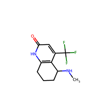 CNC1CCCc2[nH]c(=O)cc(C(F)(F)F)c21